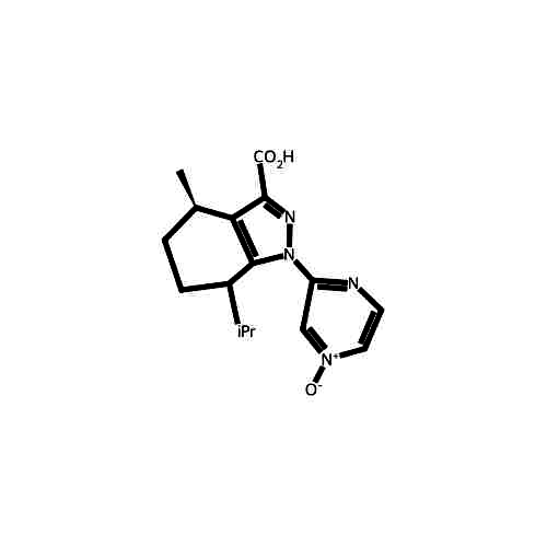 CC(C)C1CC[C@@H](C)c2c(C(=O)O)nn(-c3c[n+]([O-])ccn3)c21